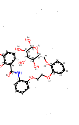 O=C(Nc1ccccc1OCCOc1ccccc1OC[C@H]1O[C@@H](O)[C@H](O)[C@@H](O)[C@@H]1O)c1cccc(O)c1O